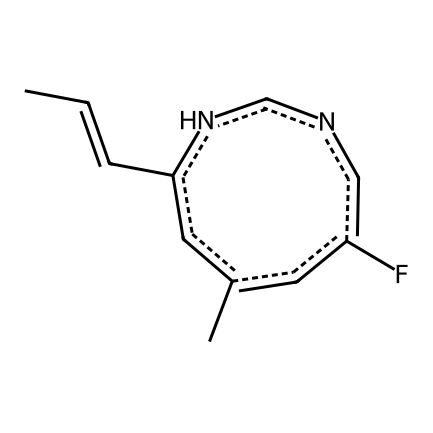 CC=Cc1cc(C)cc(F)cnc[nH]1